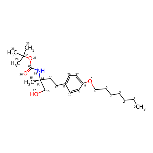 CCCCCCCOc1ccc(CC[C@](C)(CO)NC(=O)OC(C)(C)C)cc1